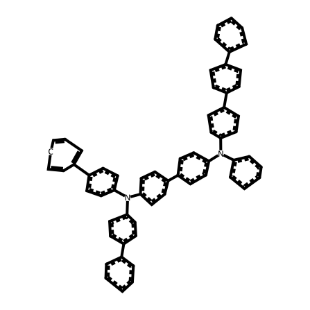 C1=CCC=CC(c2ccc(N(c3ccc(-c4ccccc4)cc3)c3ccc(-c4ccc(N(c5ccccc5)c5ccc(-c6ccc(-c7ccccc7)cc6)cc5)cc4)cc3)cc2)=C1